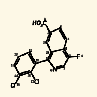 O=C(O)c1ccc2c(F)cnc(-c3cccc(Cl)c3Cl)c2c1